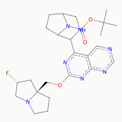 CC(C)(C)OC(=O)N1C2CCC1C(c1nc(OC[C@@]34CCCN3C[C@H](F)C4)nc3ncncc13)NC2